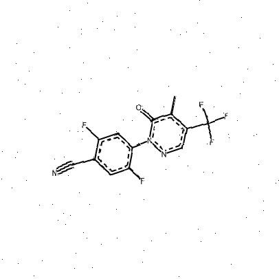 Cc1c(C(F)(F)F)cnn(-c2cc(F)c(C#N)cc2F)c1=O